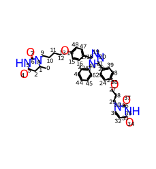 CC1CC(=O)NC(=O)N1CCCCOc1ccc(-c2nnc(-c3ccc(OCCCn4ccc(=O)[nH]c4=O)cc3)n2-c2ccccc2)cc1